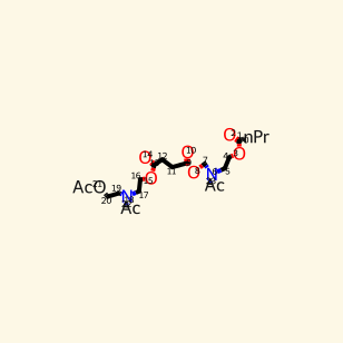 CCCC(=O)OCCN(COC(=O)CCC(=O)OCCN(CCOC(C)=O)C(C)=O)C(C)=O